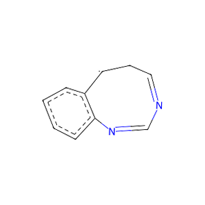 [CH]1CC=NC=Nc2ccccc21